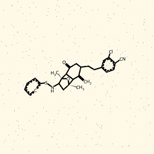 C=C1C(CCc2ccc(C#N)c(Cl)c2)CC(=O)C2C1[C@@]1(C)CC(NSc3ccccc3)[C@]2(C)O1